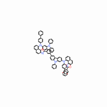 c1ccc(-c2ccc(N(c3ccc4c5cc(-c6cccc(-c7nc8ccc9cccc(N(c%10ccc(-c%11ccccc%11)cc%10)c%10ccc%11c%12ccccc%12n(-c%12ccccc%12)c%11c%10)c9c8o7)c6)ccc5n(-c5ccccc5)c4c3)c3cccc4ccc5oc(-c6ccccc6)nc5c34)cc2)cc1